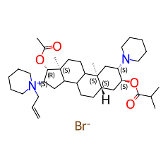 C=CC[N+]1([C@H]2CC3C4CC[C@H]5C[C@H](OC(=O)C(C)C)[C@@H](N6CCCCC6)C[C@]5(C)C4CC[C@]3(C)[C@H]2OC(C)=O)CCCCC1.[Br-]